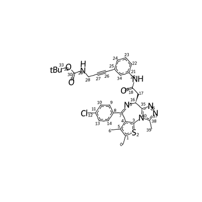 Cc1sc2c(c1C)C(c1ccc(Cl)cc1)=N[C@@H](CC(=O)Nc1cccc(C#CCNC(=O)OC(C)(C)C)c1)c1nnc(C)n1-2